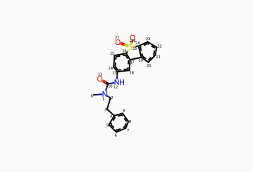 CN(CCc1ccccc1)C(=O)Nc1ccc2c(c1)-c1ccccc1S2(=O)=O